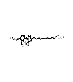 CCCCCCCCCCCCCCCCCCCCC1=NN(c2ccc(S(=O)(=O)O)cc2N)C(=O)C1